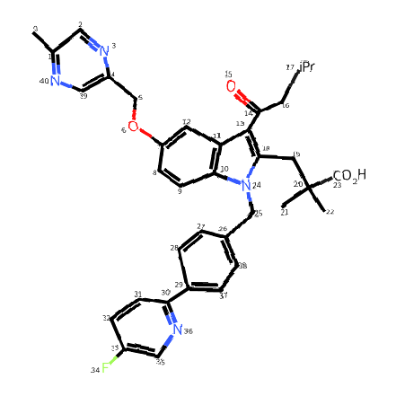 Cc1cnc(COc2ccc3c(c2)c(C(=O)CC(C)C)c(CC(C)(C)C(=O)O)n3Cc2ccc(-c3ccc(F)cn3)cc2)cn1